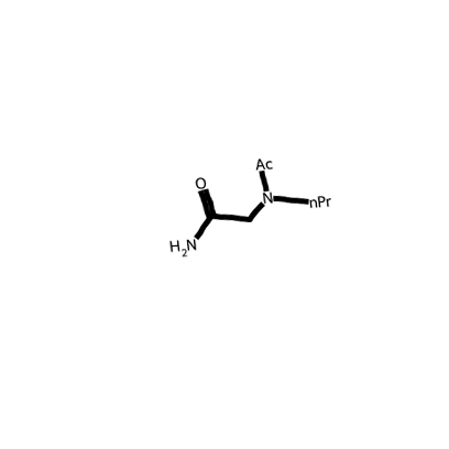 CCCN(CC(N)=O)C(C)=O